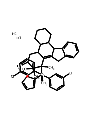 Cl.Cl.[CH2]=[Zr]([C]1=CC=CC1)([c]1cccc(Cl)c1)([c]1cccc(Cl)c1)[C]1(C)C2=C3Cc4ccccc4C3C3CCCCC3C2CC(C)C1(C)C